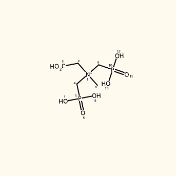 C[N+](CC(=O)O)(CP(=O)(O)O)CP(=O)(O)O